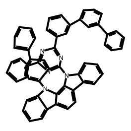 c1ccc(-c2ccc(-n3c4ccccc4c4ccc5c6ccccc6n(-c6nc(-c7ccccc7)nc(-c7cccc(-c8cccc(-c9ccccc9)c8)c7)n6)c5c43)cc2)cc1